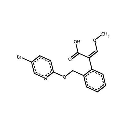 COC=C(C(=O)O)c1ccccc1COc1ccc(Br)cn1